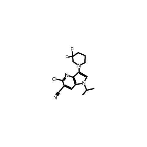 CC(C)n1cc(N2CCCC(F)(F)C2)c2nc(Cl)c(C#N)cc21